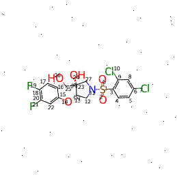 O=S(=O)(c1ccc(Cl)cc1Cl)N1C[C@H](Oc2ccc(F)c(F)c2)[C@](O)(CO)C1